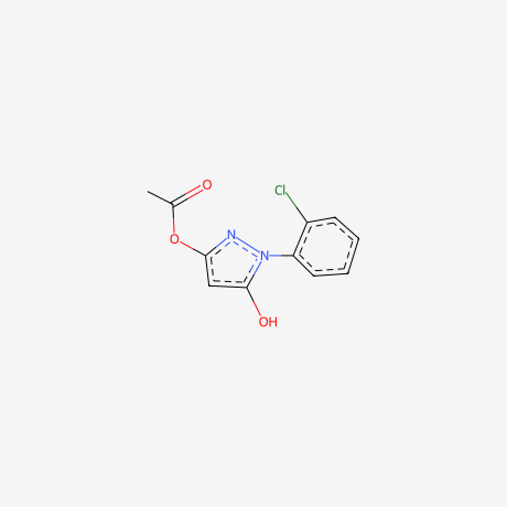 CC(=O)Oc1cc(O)n(-c2ccccc2Cl)n1